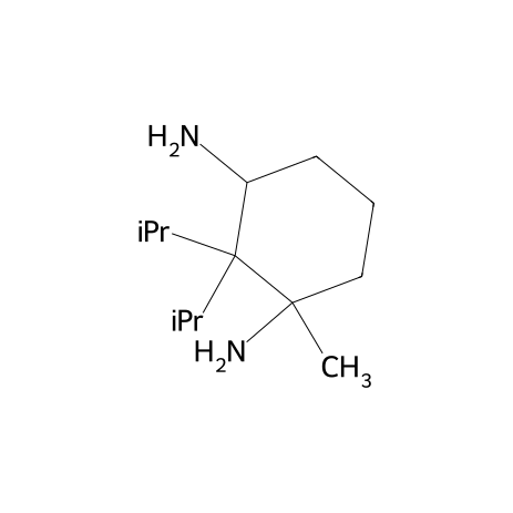 CC(C)C1(C(C)C)C(N)CCCC1(C)N